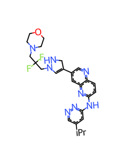 CC(C)c1cnnc(Nc2ccc3ncc(C4=CN(CC(F)(F)CN5CCOCC5)NC4)cc3n2)c1